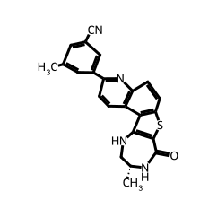 Cc1cc(C#N)cc(-c2ccc3c(ccc4sc5c(c43)NC[C@@H](C)NC5=O)n2)c1